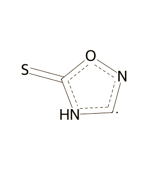 S=c1[nH][c]no1